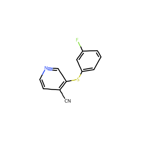 N#Cc1ccncc1Sc1cccc(F)c1